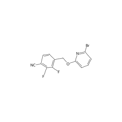 N#Cc1ccc(COc2cccc(Br)n2)c(F)c1F